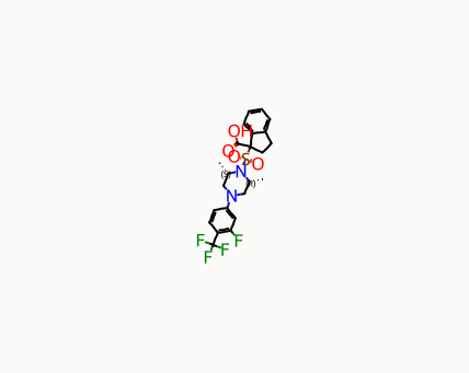 C[C@@H]1CN(c2ccc(C(F)(F)F)c(F)c2)C[C@H](C)N1S(=O)(=O)C1(C(=O)O)CCc2ccccc21